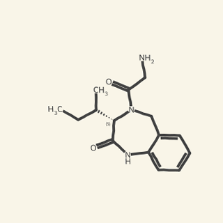 CCC(C)[C@H]1C(=O)Nc2ccccc2CN1C(=O)CN